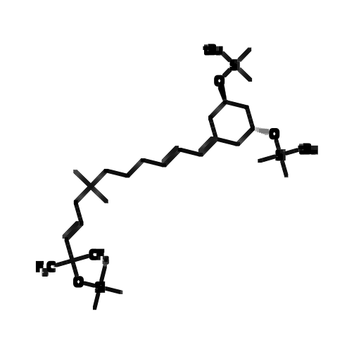 CC(C)(C/C=C/C(O[Si](C)(C)C)(C(F)(F)F)C(F)(F)F)CCC/C=C/C=C1C[C@@H](O[Si](C)(C)C(C)(C)C)C[C@H](O[Si](C)(C)C(C)(C)C)C1